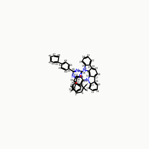 CC1(C)CCC(C)(C)c2c(-n3c4ccccc4c4ccc5c6ccccc6n(-c6nc(-c7ccccc7)nc(-c7ccc(-c8ccccc8)cc7)n6)c5c43)cccc21